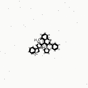 CCC1(c2ccccc2)CN=C(c2c(N3CCCC3)c(-c3ccccc3)nc3cccc(C)c23)N1